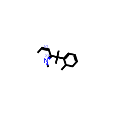 C/C=C\C(=N\C)C(C)(C)C1=CC=CCC1C